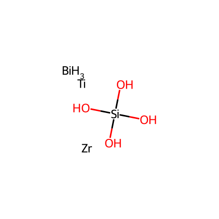 O[Si](O)(O)O.[BiH3].[Ti].[Zr]